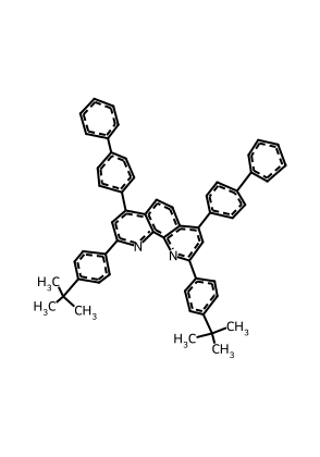 CC(C)(C)c1ccc(-c2cc(-c3ccc(-c4ccccc4)cc3)c3ccc4c(-c5ccc(-c6ccccc6)cc5)cc(-c5ccc(C(C)(C)C)cc5)nc4c3n2)cc1